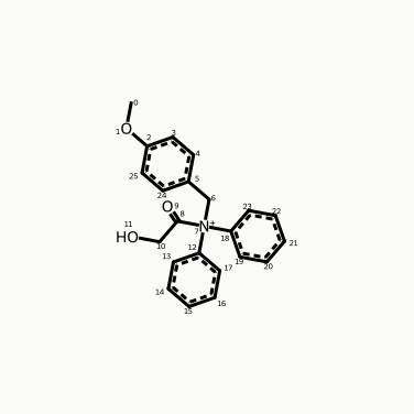 COc1ccc(C[N+](C(=O)CO)(c2ccccc2)c2ccccc2)cc1